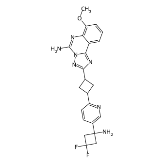 COc1cccc2c1nc(N)n1nc(C3CC(c4ccc(C5(N)CC(F)(F)C5)cn4)C3)nc21